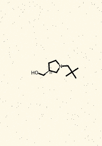 CC(C)(C)CN1CC[C@H](CO)C1